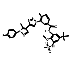 COc1c(NC(=O)c2ccc(C)c(-n3cc(-c4cnn(-c5ccc(F)cc5)c4C)nn3)c2)cc(C(C)(C)C)cc1NS(C)(=O)=O